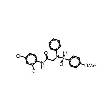 COc1ccc(S(=O)(=O)N(CC(=O)Nc2ccc(Cl)cc2Cl)c2ccccc2)cc1